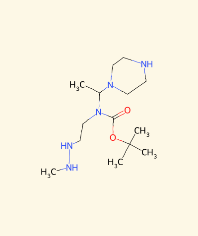 CNNCCN(C(=O)OC(C)(C)C)C(C)N1CCNCC1